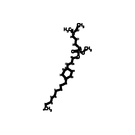 CCCCCCCCCC1CCC(CCCOP(=O)(OC)OCCCN(C)CC)CC1